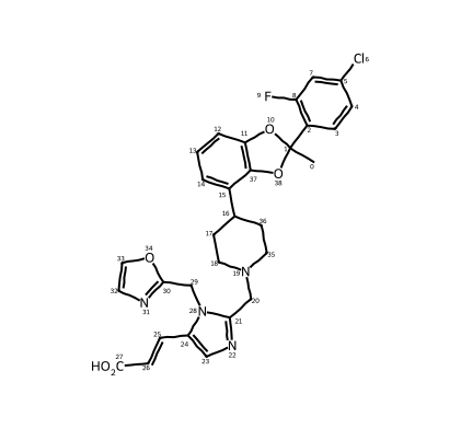 CC1(c2ccc(Cl)cc2F)Oc2cccc(C3CCN(Cc4ncc(/C=C/C(=O)O)n4Cc4ncco4)CC3)c2O1